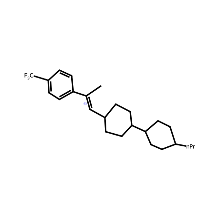 CCCC1CCC(C2CCC(/C=C(\C)c3ccc(C(F)(F)F)cc3)CC2)CC1